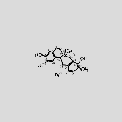 C[N+]12CCc3cc(O)c(O)cc3C1Cc1ccc(O)c(O)c1C2.[Br-]